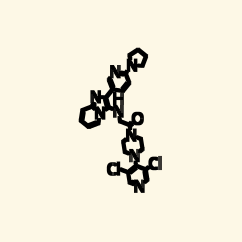 O=C(CNc1c(-c2ccc(N3CCCC3)nc2)nc2ccccn12)N1CCN(c2c(Cl)cncc2Cl)CC1